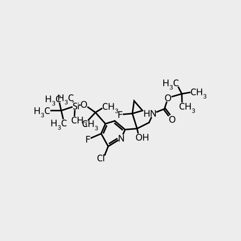 CC(C)(C)OC(=O)NCC(O)(c1cc(C(C)(C)O[Si](C)(C)C(C)(C)C)c(F)c(Cl)n1)C1(F)CC1